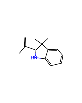 C=C(C)C1Nc2ccccc2C1(C)C